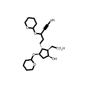 CCCC#CC(CC[C@@H]1[C@@H](CC(=O)O)[C@@H](O)C[C@H]1OC1CCCCO1)OC1CCCCO1